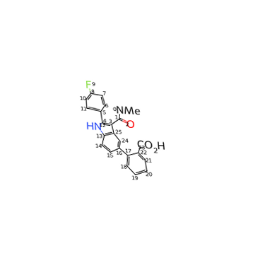 CNC(=O)c1c(-c2ccc(F)cc2)[nH]c2ccc(-c3ccccc3C(=O)O)cc12